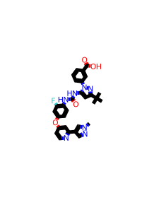 Cn1cc(-c2cc(Oc3ccc(NC(=O)Nc4cc(C(C)(C)C)nn4-c4cccc(C(=O)O)c4)c(F)c3)ccn2)cn1